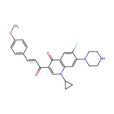 COc1ccc(/C=C/C(=O)c2cn(C3CC3)c3cc(N4CCNCC4)c(F)cc3c2=O)cc1